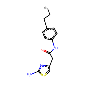 CC(C)(C)CCc1ccc(NC(=O)Cc2csc(N)n2)cc1